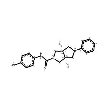 O=C(Nc1ccc(O)cc1)N1C[C@H]2C[C@@H](c3ccccc3)C[C@H]2C1